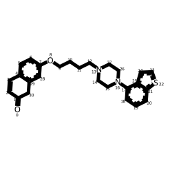 O=C1C=Cc2ccc(OCCCCN3CCN(c4cccc5sccc45)CC3)cc2C1